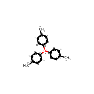 Cc1ccc([O+](c2ccc(C)cc2)c2ccc(C)cc2)cc1